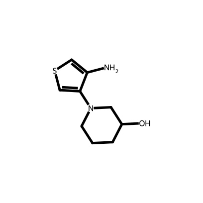 Nc1cscc1N1CCCC(O)C1